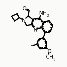 COc1cc(F)cc(-c2cccc3c(N)c4c(nc23)CN(C2CCC2)C4C=O)c1